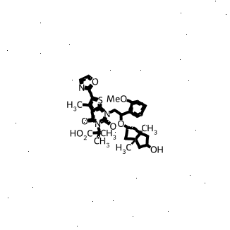 COc1ccccc1C(Cn1c(=O)n(C(C)(C)C(=O)O)c(=O)c2c(C)c(-c3ncco3)sc21)OC1C[C@]2(C)CC(O)C[C@]2(C)C1